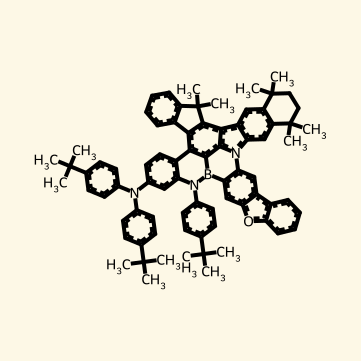 CC(C)(C)c1ccc(N2B3c4cc5oc6ccccc6c5cc4-n4c5cc6c(cc5c5c7c(c(c3c54)-c3ccc(N(c4ccc(C(C)(C)C)cc4)c4ccc(C(C)(C)C)cc4)cc32)-c2ccccc2C7(C)C)C(C)(C)CCC6(C)C)cc1